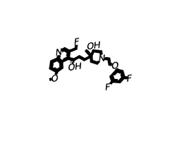 COc1ccc2ncc(CF)c([C@H](O)CCC3(CO)CCN(CCOc4cc(F)cc(F)c4)CC3)c2c1